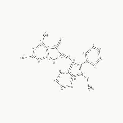 CCn1c(-c2ccccc2)c(C=C2Oc3cc(O)cc(O)c3C2=O)c2ccccc21